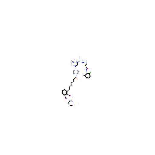 Cc1nc(Nc2ncc(C(=O)Nc3c(C)cccc3Cl)s2)cc(N2CCN(C(=O)CCCCCCc3cccc4c3C(=O)N(C3CCC(=O)NC3=O)C4=O)CC2)n1